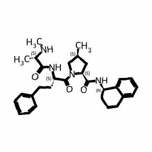 CN[C@@H](C)C(=O)N[C@@H](CCc1ccccc1)C(=O)N1C[C@@H](C)C[C@H]1C(=O)N[C@@H]1CCCc2ccccc21